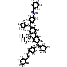 CC1(C)c2cc(N(c3ccc(/C=C/c4ccccc4)cc3)c3cccs3)ccc2-c2ccc(N(c3ccc(/C=C/c4ccccc4)cc3)c3cccs3)cc21